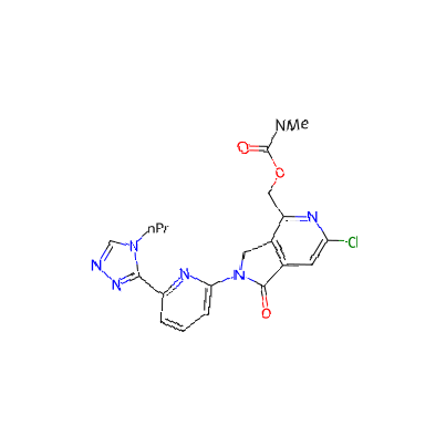 CCCn1cnnc1-c1cccc(N2Cc3c(cc(Cl)nc3COC(=O)NC)C2=O)n1